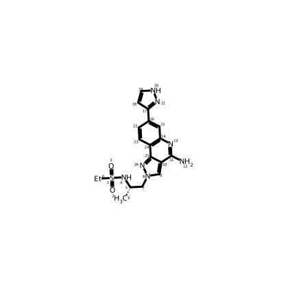 CCS(=O)(=O)N[C@@H](C)Cn1cc2c(N)nc3cc(-c4cc[nH]n4)ccc3c2n1